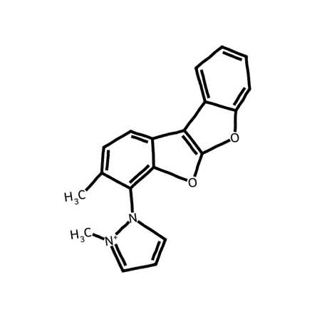 Cc1ccc2c(oc3oc4ccccc4c32)c1-n1ccc[n+]1C